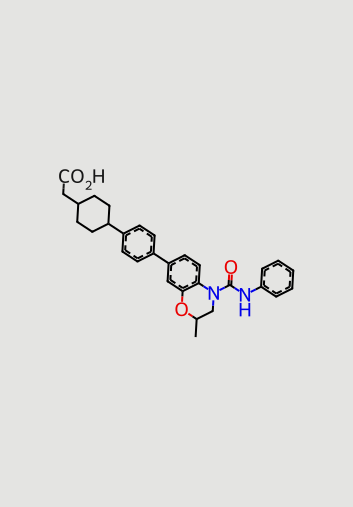 CC1CN(C(=O)Nc2ccccc2)c2ccc(-c3ccc(C4CCC(CC(=O)O)CC4)cc3)cc2O1